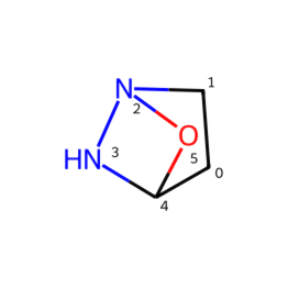 C1CN2NC1O2